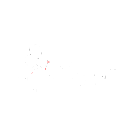 CONS(=O)(=O)c1ccc(F)c(C(=O)N2CCC(CCN3[C@@H]4CC[C@H]3C[C@@H](n3c(C)nc5ccccc53)C4)(c3cccc(F)c3)CC2)c1F